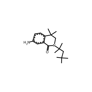 CC(C)(C)CC(C)(C)N1CC(C)(C)c2ccc(N)cc2C1=O